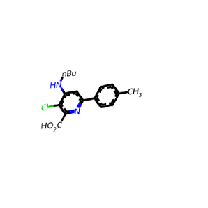 CCCCNc1cc(-c2ccc(C)cc2)nc(C(=O)O)c1Cl